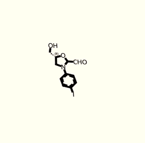 O=CC1O[C@@H](CO)CN1c1ccc(I)cc1